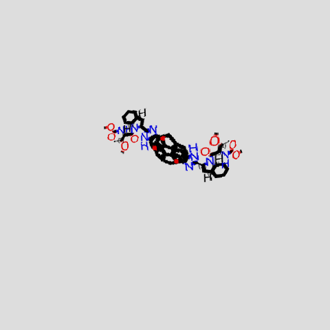 COC(=O)N[C@H](C(=O)N1C(c2nc3cc(-c4cc5ccc4CCc4ccc(c(-c6ccc7[nH]c([C@@H]8C[C@@H]9CCCC[C@@H]9N8C(=O)[C@@H](NC(=O)OC)[C@@H](C)OC)nc7c6)c4)CC5)ccc3[nH]2)C[C@@H]2CCCC[C@@H]21)[C@@H](C)OC